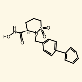 O=C(NO)[C@H]1CCCS(=O)(=O)N1Cc1ccc(-c2ccccc2)cc1